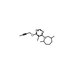 CC#CCOc1ncnc(N2CC(C)CCCC2C)c1F